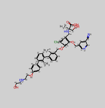 Cc1c(COc2cc(OCc3cncc(C#N)c3)c(CN[C@@](C)(CO)C(=O)O)cc2Cl)cccc1-c1cccc(-c2ccc(OCCNCCO)cc2)c1C